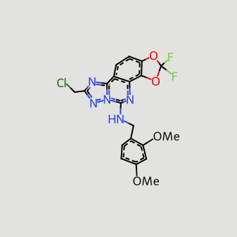 COc1ccc(CNc2nc3c4c(ccc3c3nc(CCl)nn23)OC(F)(F)O4)c(OC)c1